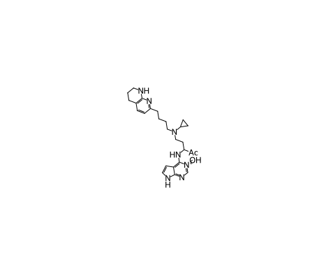 CC(=O)C(CCN(CCCCc1ccc2c(n1)NCCC2)C1CC1)Nc1c2cc[nH]c2nc[n+]1O